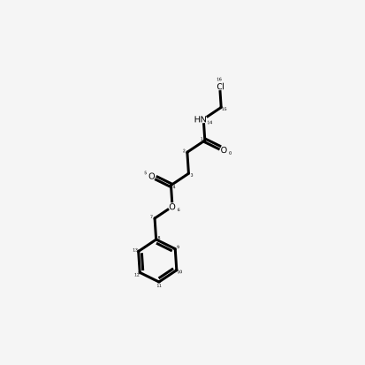 O=C(CCC(=O)OCc1ccccc1)NCCl